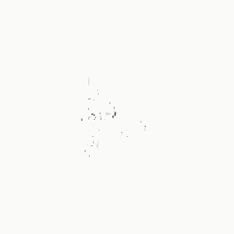 CCC[C@]1(NCC)CO[C@@H]2OCC(OC(=O)N[C@@H](Cc3cc(F)cc(F)c3)[C@H](O)CN(CC(C)C)S(=O)(=O)c3ccc4nc(NC(C)C)sc4c3)C2C1